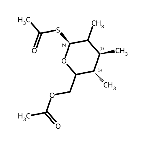 CC(=O)OCC1O[C@@H](SC(C)=O)C(C)[C@@H](C)[C@@H]1C